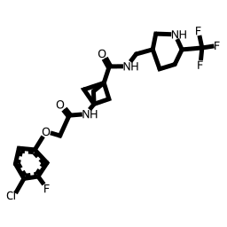 O=C(COc1ccc(Cl)c(F)c1)NC12CC(C(=O)NCC3CCC(C(F)(F)F)NC3)(C1)C2